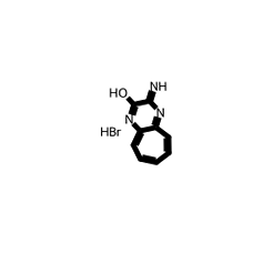 Br.N=c1nc2cccccc-2nc1O